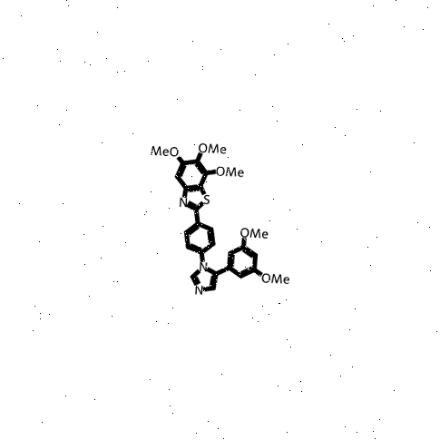 COc1cc(OC)cc(-c2cncn2-c2ccc(-c3nc4cc(OC)c(OC)c(OC)c4s3)cc2)c1